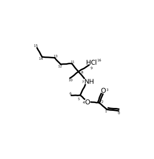 C=CC(=O)OC(C)NC(C)(C)CCCCC.Cl